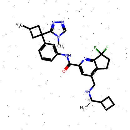 CC1CC(c2cccc(NC(=O)c3cc(CN[C@@H](C)C4CCC4)c4c(n3)C(F)(F)CC4)c2)(c2nncn2C)C1